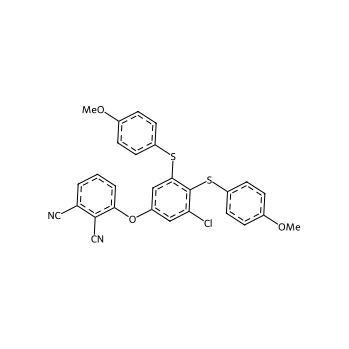 COc1ccc(Sc2cc(Oc3cccc(C#N)c3C#N)cc(Cl)c2Sc2ccc(OC)cc2)cc1